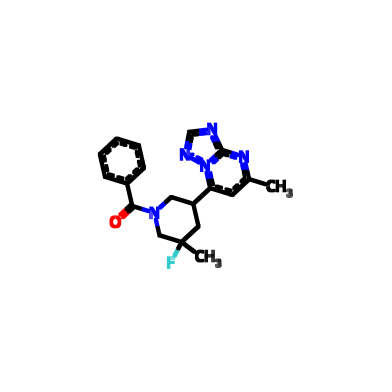 Cc1cc(C2CN(C(=O)c3ccccc3)CC(C)(F)C2)n2ncnc2n1